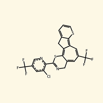 FC(F)(F)C1=CC2=C3SC=CC=C3CC2=C2SC(c3ncc(C(F)(F)F)cc3Cl)=NCC2=C1